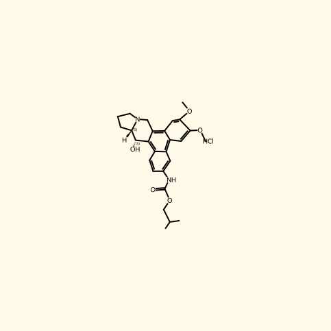 COc1cc2c3c(c4ccc(NC(=O)OCC(C)C)cc4c2cc1OC)[C@H](O)[C@@H]1CCCN1C3.Cl